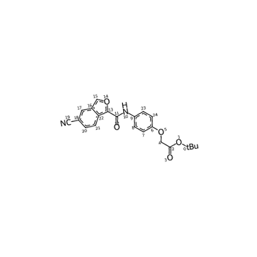 CC(C)(C)OC(=O)COc1ccc(NC(=O)c2occ3cc(C#N)ccc23)cc1